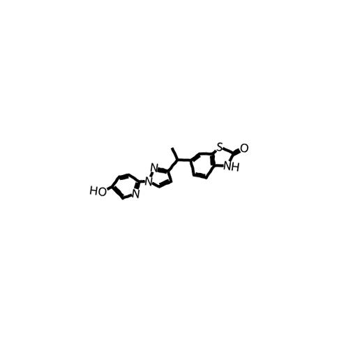 CC(c1ccc2[nH]c(=O)sc2c1)c1ccn(-c2ccc(O)cn2)n1